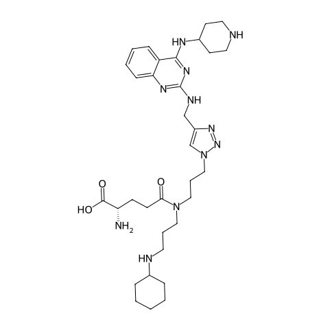 N[C@@H](CCC(=O)N(CCCNC1CCCCC1)CCCn1cc(CNc2nc(NC3CCNCC3)c3ccccc3n2)nn1)C(=O)O